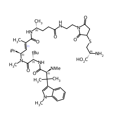 CN[C@H](C(=O)N[C@H](C(=O)N(C)[C@H](/C=C(\C)C(=O)N[C@H](C)CCC(=O)NCCN1C(=O)CC(SC[C@H](N)C(=O)O)C1=O)C(C)C)C(C)(C)C)C(C)(C)c1cn(C)c2ccccc12